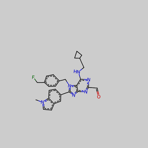 Cn1ccc2cc(-c3nc4nc(C=O)nc(NCC5CCC5)c4n3Cc3ccc(CF)cc3)ccc21